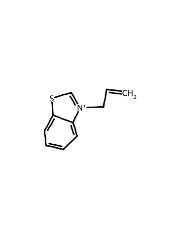 C=CC[n+]1csc2ccccc21